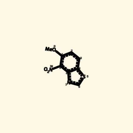 COc1ccc2scnc2c1[N+](=O)[O-]